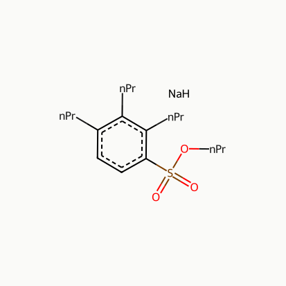 CCCOS(=O)(=O)c1ccc(CCC)c(CCC)c1CCC.[NaH]